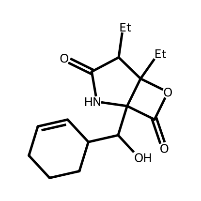 CCC1C(=O)NC2(C(O)C3C=CCCC3)C(=O)OC12CC